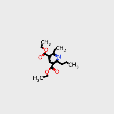 C=Cc1nc(CCC)c(C(=O)OCC)cc1C(=O)OCC